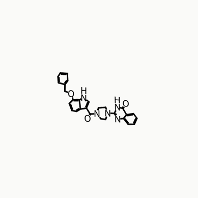 O=C(c1c[nH]c2c(OCc3ccccc3)cccc12)N1CCN(c2nc3ccccc3c(=O)[nH]2)CC1